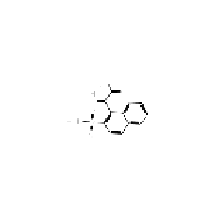 C=C(C(N)=O)c1c(S(N)(=O)=O)ccc2ccccc12